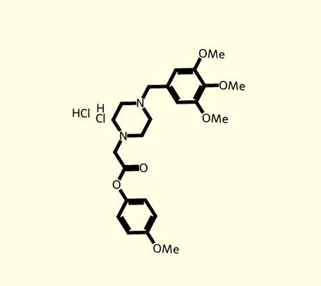 COc1ccc(OC(=O)CN2CCN(Cc3cc(OC)c(OC)c(OC)c3)CC2)cc1.Cl.Cl